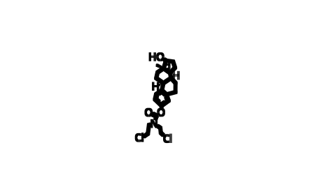 C[C@]12CC[C@@H]3c4ccc(OC(=O)N(CCCl)CCCl)cc4CC[C@H]3[C@@H]1CCC2O